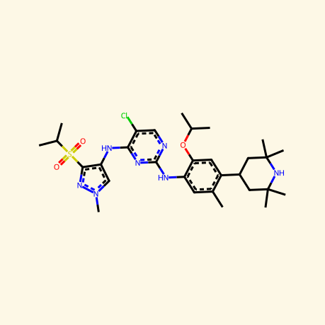 Cc1cc(Nc2ncc(Cl)c(Nc3cn(C)nc3S(=O)(=O)C(C)C)n2)c(OC(C)C)cc1C1CC(C)(C)NC(C)(C)C1